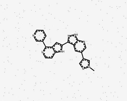 Cn1cc(-c2cnc3[nH]nc(-c4cc5c(-c6cccnc6)nccc5[nH]4)c3c2)cn1